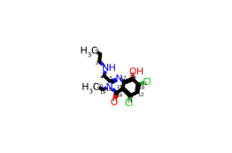 CCCNCc1nc2c(O)c(Cl)cc(Cl)c2c(=O)n1CC